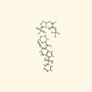 CN(CC1CCN(S(=O)(=O)C[C@H]2CC[C@H](N(C)c3c(C#N)cnc4c3ccn4S(=O)(=O)c3ccccc3)CC2)C1)C(=O)OC(C)(C)C